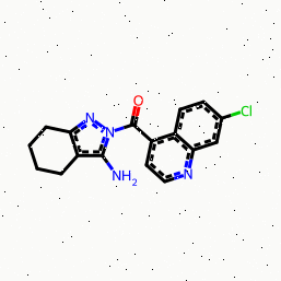 Nc1c2c(nn1C(=O)c1ccnc3cc(Cl)ccc13)CCCC2